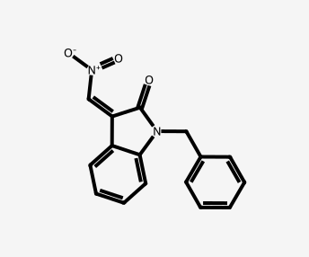 O=C1C(=C[N+](=O)[O-])c2ccccc2N1Cc1ccccc1